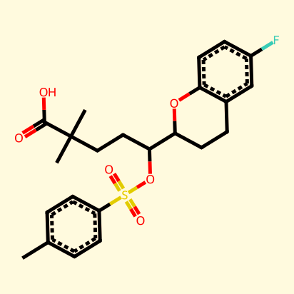 Cc1ccc(S(=O)(=O)OC(CCC(C)(C)C(=O)O)C2CCc3cc(F)ccc3O2)cc1